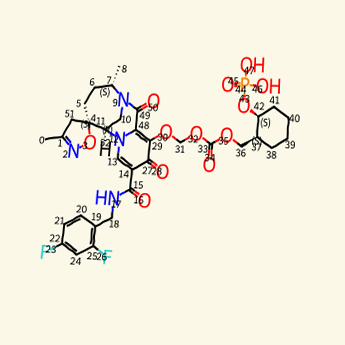 CC1=NO[C@@]2(CC[C@H](C)N3C[C@H]2n2cc(C(=O)NCc4ccc(F)cc4F)c(=O)c(OCOC(=O)OC[C@@H]4CCCC[C@@H]4OP(=O)(O)O)c2C3=O)C1